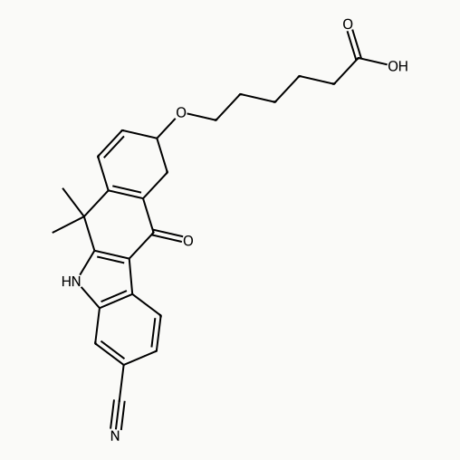 CC1(C)C2=C(CC(OCCCCCC(=O)O)C=C2)C(=O)c2c1[nH]c1cc(C#N)ccc21